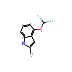 CCc1cc2c(OC(F)F)cccc2[nH]1